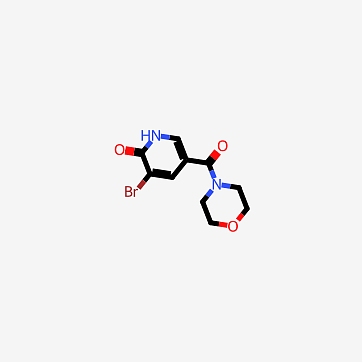 O=C(c1c[nH]c(=O)c(Br)c1)N1CCOCC1